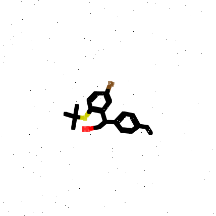 CCc1ccc(C(CO)c2cc(Br)ccc2SC(C)(C)C)cc1